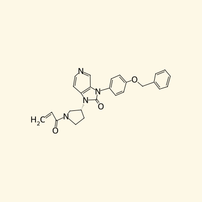 C=CC(=O)N1CC[C@@H](n2c(=O)n(-c3ccc(OCc4ccccc4)cc3)c3cnccc32)C1